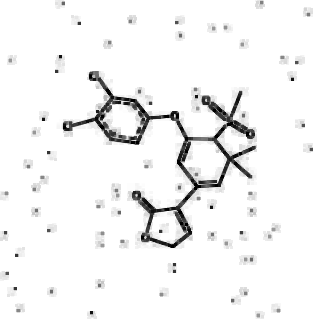 CC1(C)C=C(C2=CCOC2=O)C=C(Oc2ccc(Cl)c(Cl)c2)C1S(C)(=O)=O